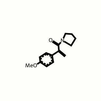 C=C(C(=O)N1CCCC1)c1ccc(OC)cc1